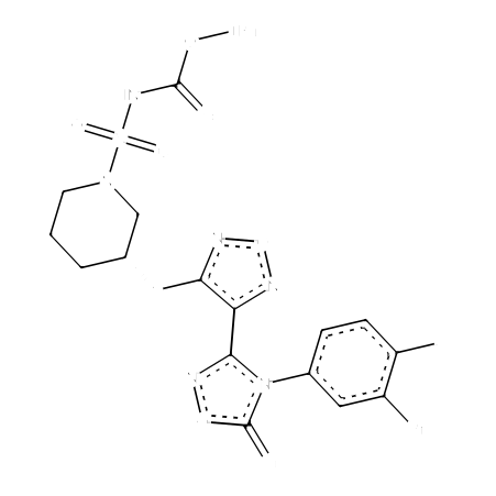 CC(C)(C)OC(=O)NS(=O)(=O)N1CCC[C@@H](Sc2nonc2-c2noc(=O)n2-c2ccc(F)c(Br)c2)C1